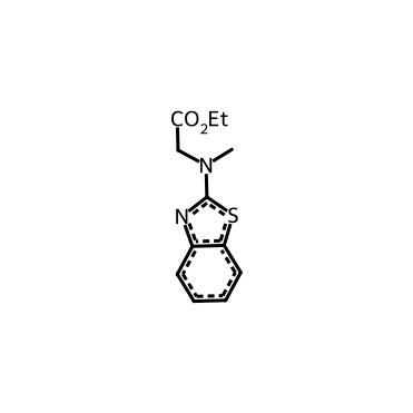 CCOC(=O)CN(C)c1nc2ccccc2s1